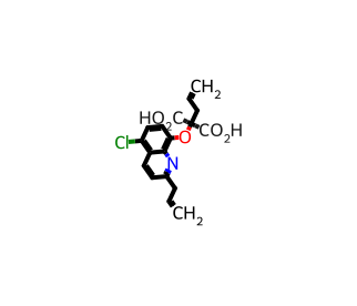 C=CCc1ccc2c(Cl)ccc(OC(CC=C)(C(=O)O)C(=O)O)c2n1